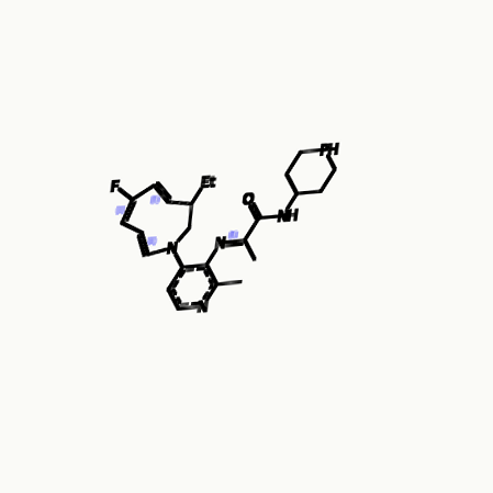 CCC1/C=C/C(F)=C\C=C\N(c2ccnc(C)c2/N=C(\C)C(=O)NC2CCPCC2)C1